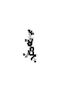 CCCN(CCC)C(=O)C1=Cc2ccc(-c3ccc4c(=O)n(CCCS(C)(=O)=O)ncc4c3)cc2N=C(N)C1